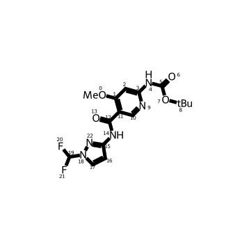 COc1cc(NC(=O)OC(C)(C)C)ncc1C(=O)Nc1ccn(C(F)F)n1